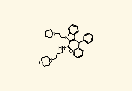 O=C(NCCCN1CCOCC1)c1c(C(c2ccccc2)c2ccccc2)c2ccccc2n1CCN1CCCC1